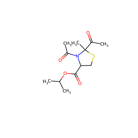 CC(=O)N1C(C(=O)OC(C)C)CSC1(C)C(C)=O